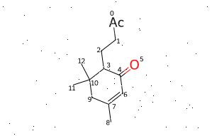 CC(=O)CCC1C(=O)C=C(C)CC1(C)C